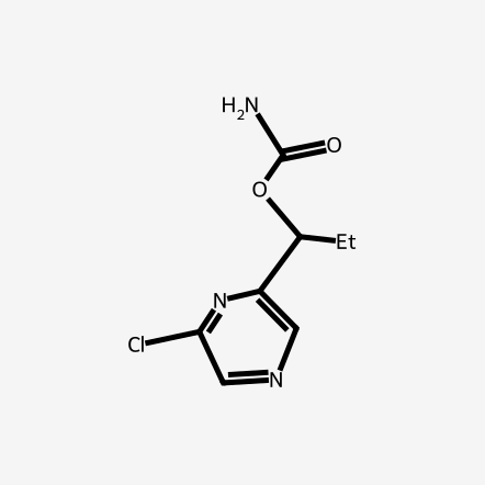 CCC(OC(N)=O)c1cncc(Cl)n1